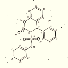 Cc1ccccc1C1c2ccccc2OC(=O)C1S(=O)(=O)Cc1ccccc1